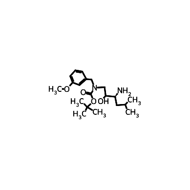 COc1cccc(CN(CC(O)[C@@H](N)CC(C)C)C(=O)OC(C)(C)C)c1